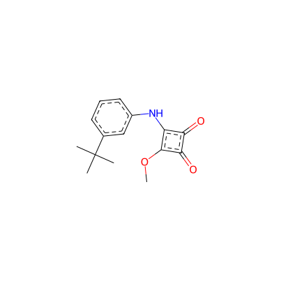 COc1c(Nc2cccc(C(C)(C)C)c2)c(=O)c1=O